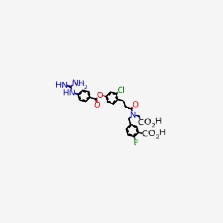 N=C(N)Nc1ccc(C(=O)Oc2ccc(CCC(=O)N(CC(=O)O)Cc3ccc(F)c(C(=O)O)c3)c(Cl)c2)cc1